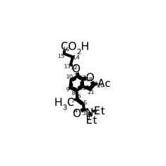 CCN(CC)C(=O)C=C(C)c1ccc(OCCCC(=O)O)c2oc(C(C)=O)cc12